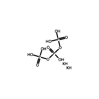 O=P(O)(O)OP(=O)(O)OP(=O)(O)O.[KH].[KH]